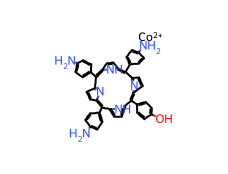 Nc1ccc(-c2c3nc(c(-c4ccc(N)cc4)c4ccc([nH]4)c(-c4ccc(O)cc4)c4nc(c(-c5ccc(N)cc5)c5ccc2[nH]5)C=C4)C=C3)cc1.[Co+2]